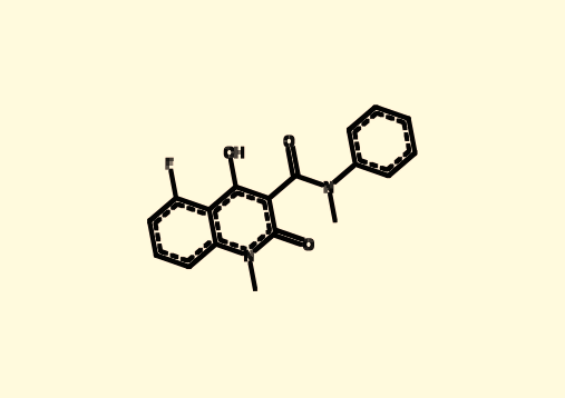 CN(C(=O)c1c(O)c2c(F)cccc2n(C)c1=O)c1ccccc1